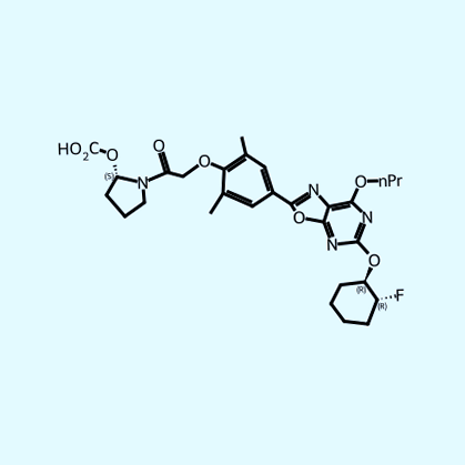 CCCOc1nc(O[C@@H]2CCCC[C@H]2F)nc2oc(-c3cc(C)c(OCC(=O)N4CCC[C@@H]4OC(=O)O)c(C)c3)nc12